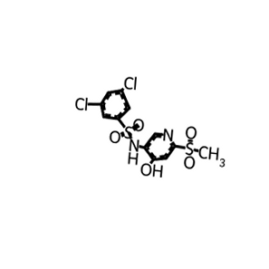 CS(=O)(=O)c1cc(O)c(NS(=O)(=O)c2cc(Cl)cc(Cl)c2)cn1